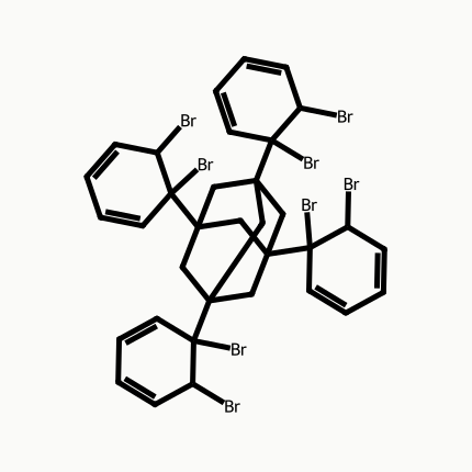 BrC1C=CC=CC1(Br)C12CC3(C4(Br)C=CC=CC4Br)CC(C4(Br)C=CC=CC4Br)(C1)CC(C1(Br)C=CC=CC1Br)(C2)C3